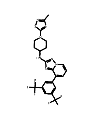 Cc1nsc(N2CCC(Nc3nc4c(-c5cc(C(F)(F)F)cc(C(F)(F)F)c5)cccn4n3)CC2)n1